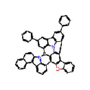 c1ccc(-c2cc3c4c(c2)c2cc(-c5ccccc5)cc5c6c7c(oc8ccccc87)c7c(c6n4c25)B3n2c3ccc4ccccc4c3c3cccc-7c32)cc1